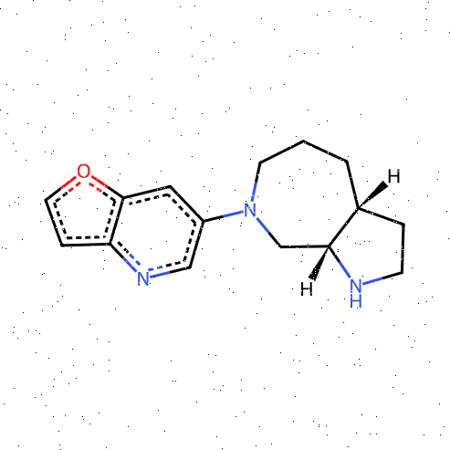 c1cc2ncc(N3CCC[C@@H]4CCN[C@@H]4C3)cc2o1